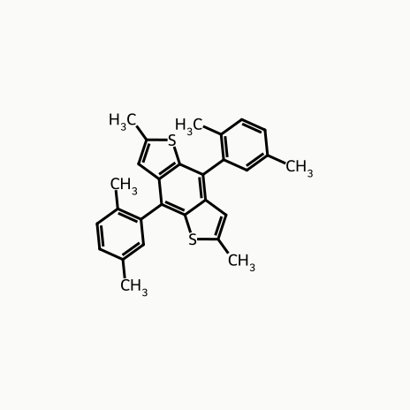 Cc1ccc(C)c(-c2c3cc(C)sc3c(-c3cc(C)ccc3C)c3cc(C)sc23)c1